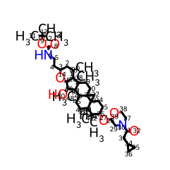 C[C@@H]1CC(CCNC(=O)OC(C)(C)C)OC2C1C1(C)CCC34CC35CCC(OC3CN(C(=O)CC6CC6)CCO3)C(C)(C)[C@@H]5CCC4[C@]1(C)[C@H]2O